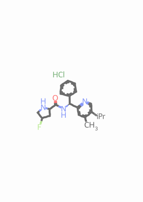 Cc1cc([C@@H](NC(=O)C2CC(F)CN2)c2ccccc2)ncc1C(C)C.Cl